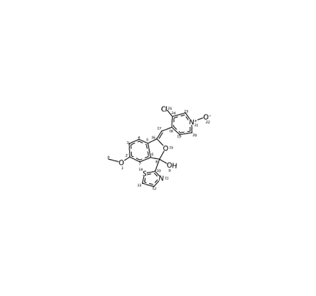 COc1ccc2c(c1)C(O)(c1nccs1)OC2=Cc1cc[n+]([O-])cc1Cl